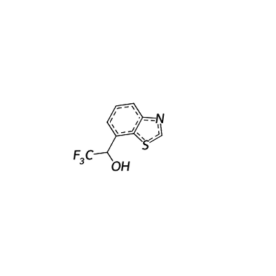 OC(c1cccc2ncsc12)C(F)(F)F